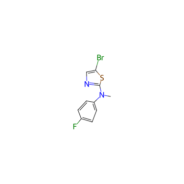 CN(c1ccc(F)cc1)c1ncc(Br)s1